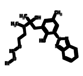 CCOPOCCN(C)C(C)(O)Cc1cc(C)cc(-n2nc3ccccc3n2)c1O